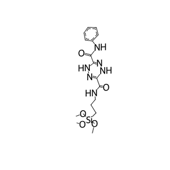 CO[Si](CCCNC(=O)C1=NNC(C(=O)Nc2ccccc2)=NN1)(OC)OC